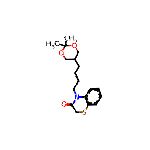 CC1(C)OCC(CCCCN2C(=O)CSc3ccccc32)CO1